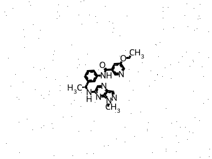 CCOc1cncc(C(=O)Nc2cccc([C@H](C)Nc3cnc4cnn(C)c4n3)c2)c1